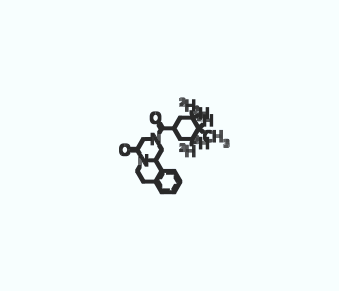 [2H]C1([2H])CC(C(=O)N2CC(=O)N3CCc4ccccc4C3C2)CC([2H])([2H])C1([2H])C